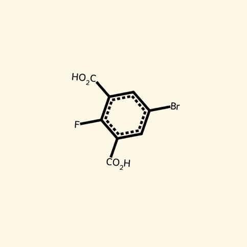 O=C(O)c1cc(Br)cc(C(=O)O)c1F